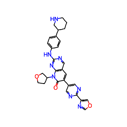 O=c1c(-c2cnc(-c3cocn3)nc2)cc2cnc(Nc3ccc(C4CCCNC4)cc3)nc2n1C1CCOC1